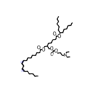 CCCCC/C=C\C/C=C\CCCCCCCC(=O)OCC(CCCCC(=O)OC(CCCCCC)CCCCCC)COC(=O)OCCCN(CC)CC